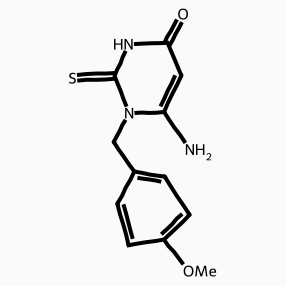 COc1ccc(Cn2c(N)cc(=O)[nH]c2=S)cc1